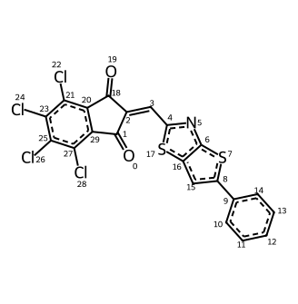 O=C1C(=Cc2nc3sc(-c4ccccc4)cc3s2)C(=O)c2c(Cl)c(Cl)c(Cl)c(Cl)c21